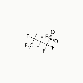 CC(F)(C(F)(F)F)C(F)(F)C(F)(F)S(=O)(=O)F